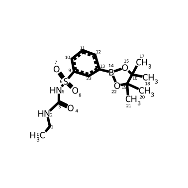 CCNC(=O)NS(=O)(=O)c1cccc(B2OC(C)(C)C(C)(C)O2)c1